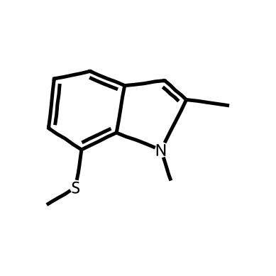 CSc1cccc2cc(C)n(C)c12